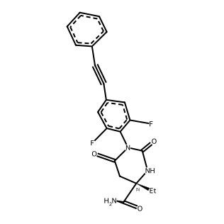 CC[C@@]1(C(N)=O)CC(=O)N(c2c(F)cc(C#Cc3ccccc3)cc2F)C(=O)N1